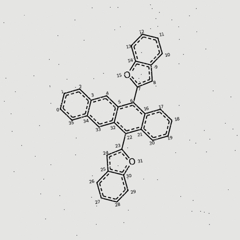 c1ccc2cc3c(-c4cc5ccccc5o4)c4ccccc4c(-c4cc5ccccc5o4)c3cc2c1